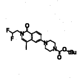 CC(C)(C)OC(=O)N1CCN(c2ccc3c(=O)n(CC(F)F)cc(I)c3c2)CC1